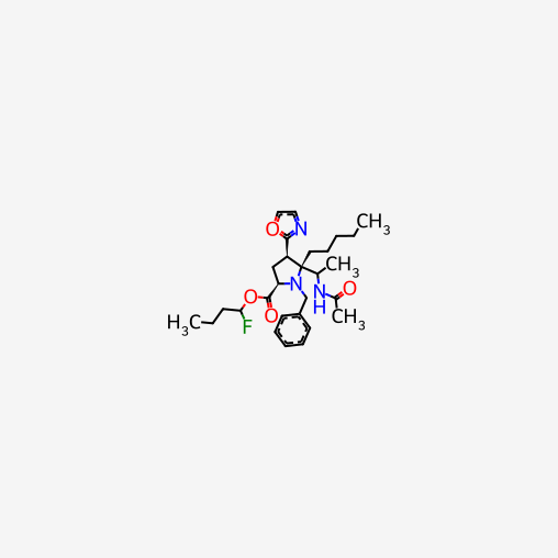 CCCCC[C@]1(C(C)NC(C)=O)[C@H](c2ncco2)C[C@H](C(=O)OC(F)CCC)N1Cc1ccccc1